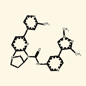 Cc1cc(-c2ccc3c(n2)N(C(=O)Nc2cncc(-c4cn(C)nc4C)c2)C2CCN3C2)ccn1